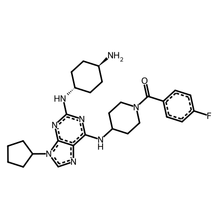 N[C@H]1CC[C@H](Nc2nc(NC3CCN(C(=O)c4ccc(F)cc4)CC3)c3ncn(C4CCCC4)c3n2)CC1